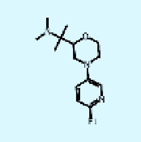 CCc1ccc(N2CCOC(C(C)(C)N(C)C)C2)cn1